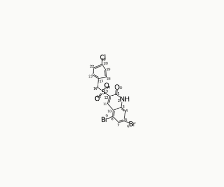 O=c1[nH]c2cc(Br)cc(Br)c2cc1S(=O)(=O)Cc1ccc(Cl)cc1